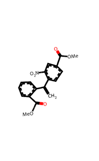 C=C(c1ccccc1C(=O)OC)c1ccc(C(=O)OC)cc1[N+](=O)[O-]